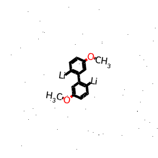 [Li][c]1ccc(OC)cc1-c1cc(OC)cc[c]1[Li]